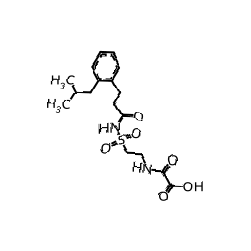 CC(C)Cc1ccccc1CCC(=O)NS(=O)(=O)CCNC(=O)C(=O)O